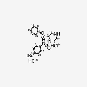 CC(C)(C)c1ccc(NC(=O)N2CCNCC2COc2cccnc2)cc1.Cl.Cl